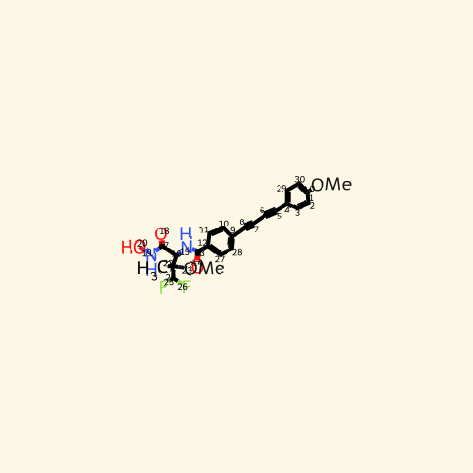 COc1ccc(C#CC#Cc2ccc(C(=O)NC(C(=O)NO)C(C)(OC)C(F)F)cc2)cc1